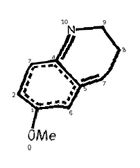 COc1ccc2c(c1)=CCCN=2